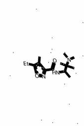 CCc1onc(C(=O)NC(C)C(C)(C)N(C)C)c1C